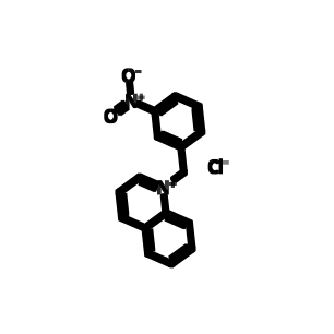 O=[N+]([O-])c1cccc(C[n+]2cccc3ccccc32)c1.[Cl-]